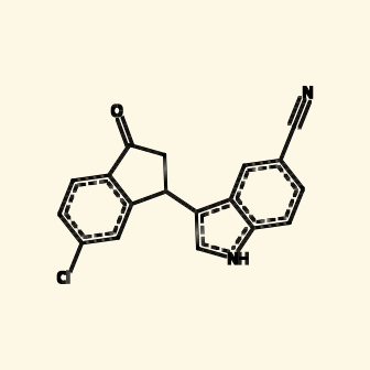 N#Cc1ccc2[nH]cc(C3CC(=O)c4ccc(Cl)cc43)c2c1